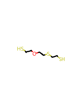 SCCOCCSCCS